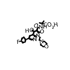 CC(C)(NC(=O)c1c(O)c2cc(-c3ccc(F)cc3)cnc2n(CCN2CCOCC2)c1=O)C(=O)O